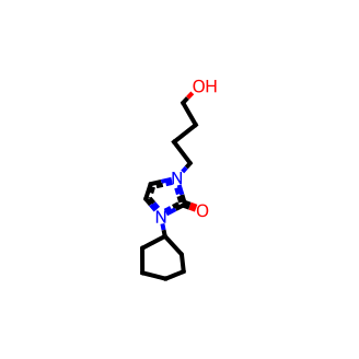 O=c1n(CCCCO)ccn1C1CCCCC1